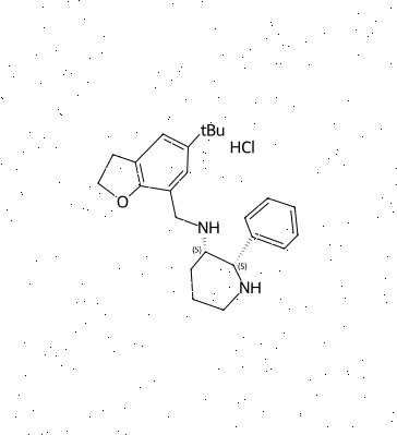 CC(C)(C)c1cc2c(c(CN[C@H]3CCCN[C@H]3c3ccccc3)c1)OCC2.Cl